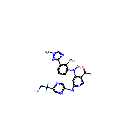 CCC(=O)c1cnc(Nc2cnc(C(F)(F)CN)cn2)cc1N(C)c1cccc(-c2ncn(C)n2)c1OC